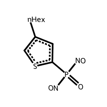 CCCCCCc1csc(P(=O)(N=O)N=O)c1